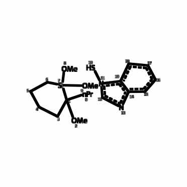 CCCC1(OC)CCCC[Si]1(OC)OC.Sn1cnc2ccccc21